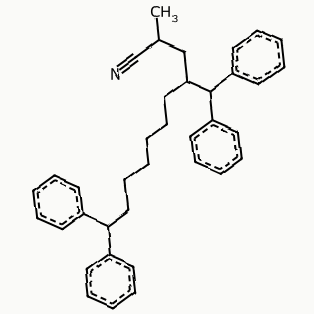 CC(C#N)CC(CCCCCCC(c1ccccc1)c1ccccc1)C(c1ccccc1)c1ccccc1